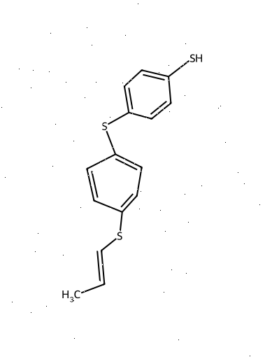 CC=CSc1ccc(Sc2ccc(S)cc2)cc1